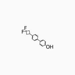 Oc1ccc(-c2ccc(C3CC(F)(F)C3)cc2)cc1